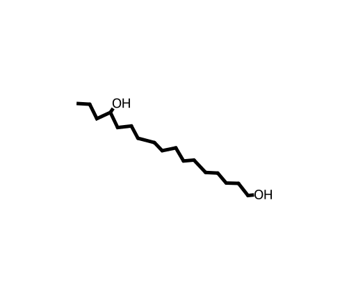 CCCC(O)CCCCCCCCCCCCCO